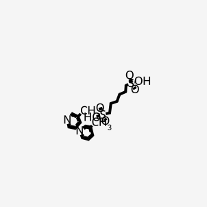 Cc1cccnc1.Cc1cccnc1.O=S(=O)(O)CCCCCCS(=O)(=O)O